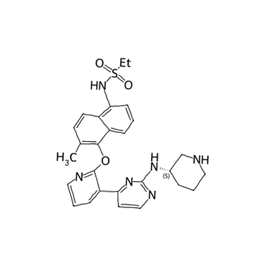 CCS(=O)(=O)Nc1cccc2c(Oc3ncccc3-c3ccnc(N[C@H]4CCCNC4)n3)c(C)ccc12